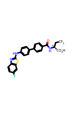 O=C(N[C@@H](CC(F)(F)F)C(=O)O)c1ccc(-c2ccc(Nc3nc4ccc(F)cc4s3)cc2)cc1